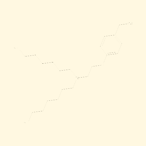 CCCCCCCCCCCCCCCCN(CCCCCCCCCCCCCCCC)CCOc1ccc(CN)cc1